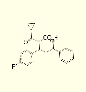 O=C(CC(c1ccc(F)cc1)C(C(=O)O)C(=O)C1CC1)c1ccccc1